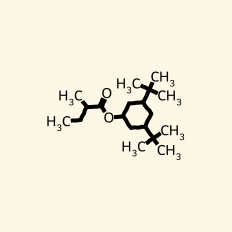 CCC(C)C(=O)OC1CC(C(C)(C)C)CC(C(C)(C)C)C1